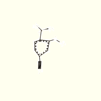 C#Cc1ccc([C@H](C)N)c(OC)c1